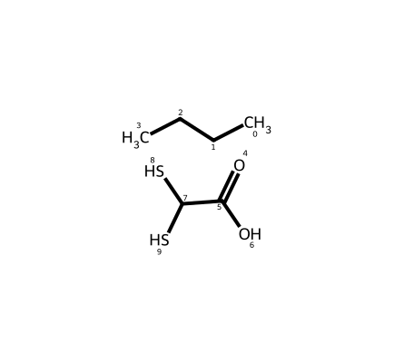 CCCC.O=C(O)C(S)S